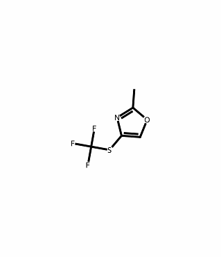 Cc1nc(SC(F)(F)F)co1